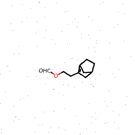 O=COCCC1=C2CCC(C1)C2